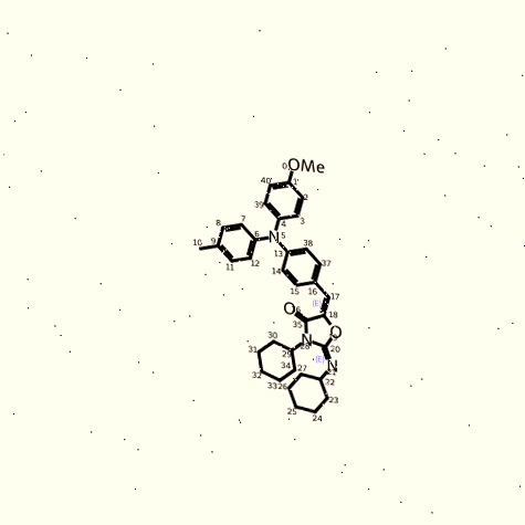 COc1ccc(N(c2ccc(C)cc2)c2ccc(/C=C3/O/C(=N/C4CCCCC4)N(C4CCCCC4)C3=O)cc2)cc1